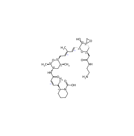 CC(/C=C/[C@H]1O[C@H](CC(=O)NCCN)C[C@@]2(CO2)[C@@H]1O)=C\C[C@@H]1O[C@H](C)[C@H](NC(=O)/C=C\C(C)[C@@H]2CCCCN2C(=O)O)C[C@@H]1C